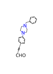 O=CC#Cc1ccc(N2CCN(Cc3ccccc3)CC2)cc1